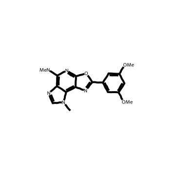 CNc1nc2oc(-c3cc(OC)cc(OC)c3)nc2c2c1ncn2C